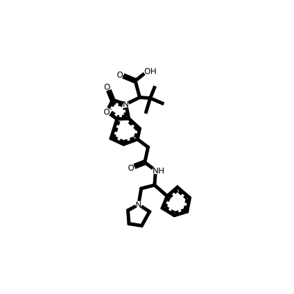 CC(C)(C)C(C(=O)O)n1c(=O)oc2ccc(CC(=O)NC(CN3CCCC3)c3ccccc3)cc21